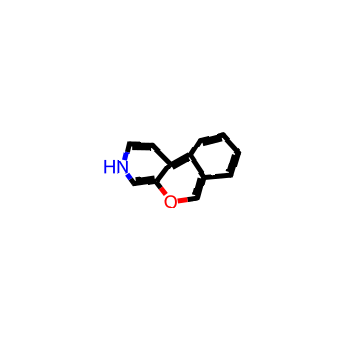 C1=CC2=c3ccccc3=COC2=CN1